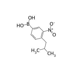 CC(C)Cc1ccc(B(O)O)cc1[N+](=O)[O-]